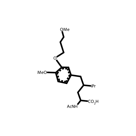 COCCCOc1cc(CC(CC(NC(C)=O)C(=O)O)C(C)C)ccc1OC